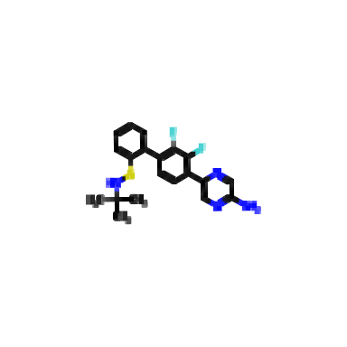 CC(C)(C)NSc1ccccc1-c1ccc(-c2cnc(N)cn2)c(F)c1F